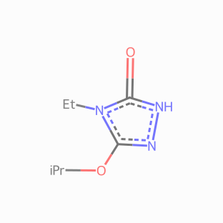 CCn1c(OC(C)C)n[nH]c1=O